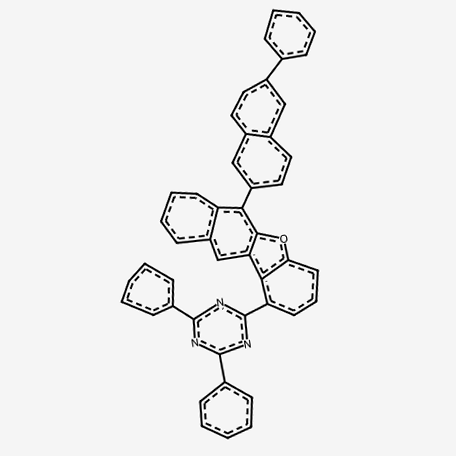 c1ccc(-c2ccc3cc(-c4c5ccccc5cc5c4oc4cccc(-c6nc(-c7ccccc7)nc(-c7ccccc7)n6)c45)ccc3c2)cc1